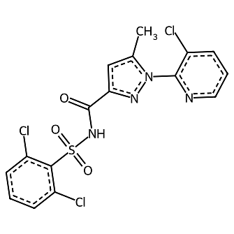 Cc1cc(C(=O)NS(=O)(=O)c2c(Cl)cccc2Cl)nn1-c1ncccc1Cl